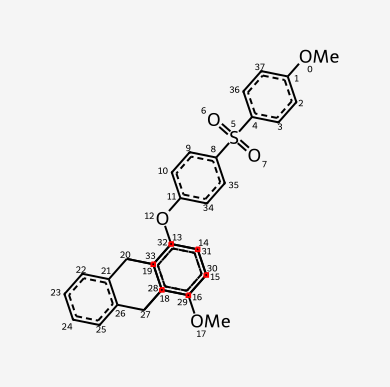 COc1ccc(S(=O)(=O)c2ccc(Oc3ccc(OC)c4c3C3c5ccccc5C4c4ccccc43)cc2)cc1